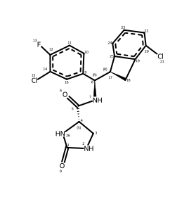 O=C1NC[C@@H](C(=O)N[C@@H](c2ccc(F)c(Cl)c2)[C@@H]2Cc3c(Cl)cccc32)N1